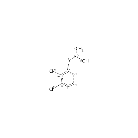 C[C@H](O)Cc1cccc(Cl)c1Cl